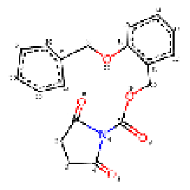 O=C1CCC(=O)N1C(=O)OCc1ccccc1OCc1ccccc1